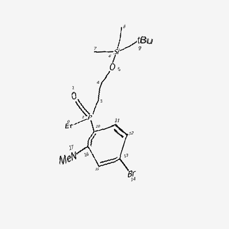 CCP(=O)(CCO[Si](C)(C)C(C)(C)C)c1ccc(Br)cc1NC